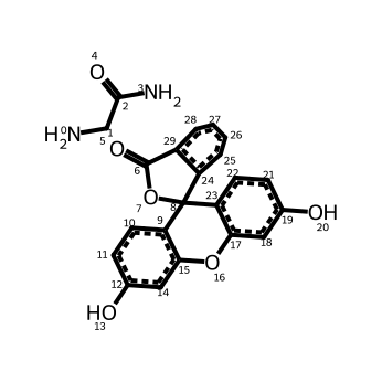 NCC(N)=O.O=C1OC2(c3ccc(O)cc3Oc3cc(O)ccc32)c2ccccc21